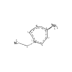 N#CC[n+]1ccc(N)cc1